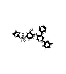 N#Cc1cc(S(=O)(=O)Nc2nccs2)ccc1Oc1cnc(-c2cccc(F)c2)cc1-c1cccnc1